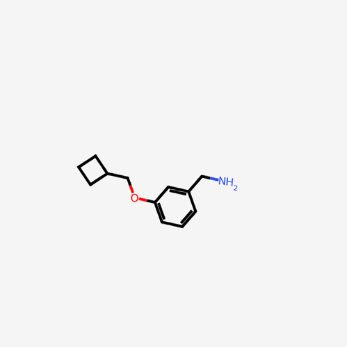 NCc1cccc(OCC2CCC2)c1